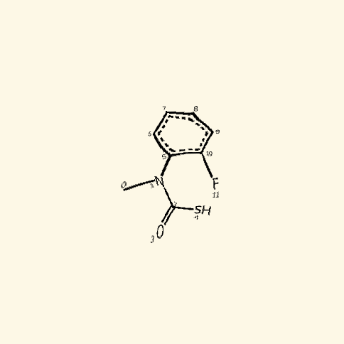 CN(C(=O)S)c1ccccc1F